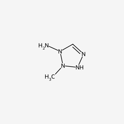 CN1NN=CN1N